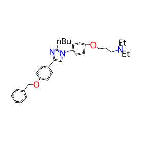 CCCCc1nc(-c2ccc(OCc3ccccc3)cc2)cn1-c1ccc(OCCCN(CC)CC)cc1